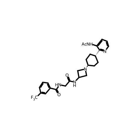 CC(=O)Nc1cccnc1[C@H]1CC[C@@H](N2CC(NC(=O)CNC(=O)c3cccc(C(F)(F)F)c3)C2)CC1